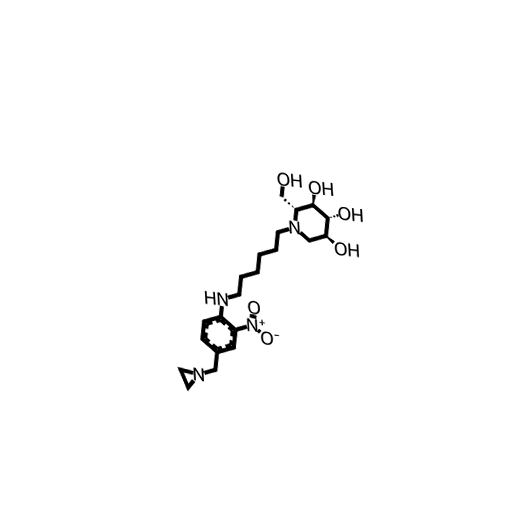 O=[N+]([O-])c1cc(CN2CC2)ccc1NCCCCCCN1C[C@H](O)[C@@H](O)[C@H](O)[C@H]1CO